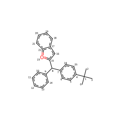 CC(C)(C)c1ccc(C(c2ccccc2)c2cc3ccccc3o2)cc1